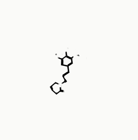 COc1cc(C=CC(=O)N2CC=CCC2=O)cc(OC)c1OC